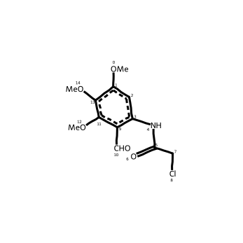 COc1cc(NC(=O)CCl)c(C=O)c(OC)c1OC